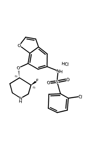 Cl.O=S(=O)(Nc1cc(O[C@H]2CCNC[C@@H]2F)c2occc2c1)c1ccccc1Cl